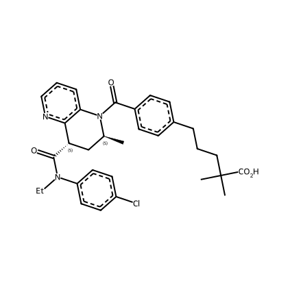 CCN(C(=O)[C@H]1C[C@H](C)N(C(=O)c2ccc(CCCC(C)(C)C(=O)O)cc2)c2cccnc21)c1ccc(Cl)cc1